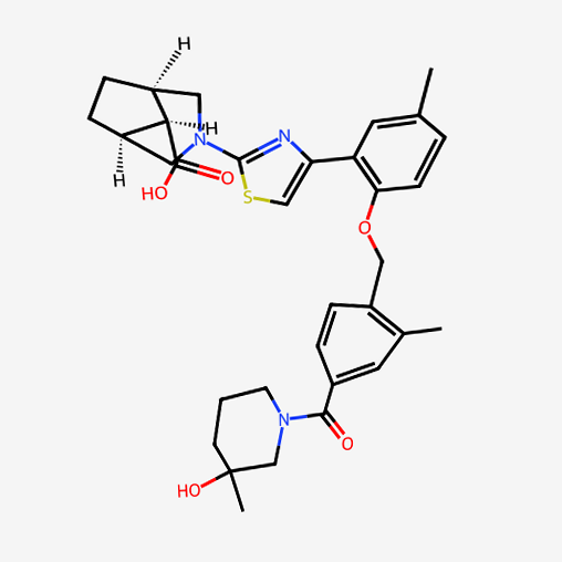 Cc1ccc(OCc2ccc(C(=O)N3CCCC(C)(O)C3)cc2C)c(-c2csc(N3C[C@H]4CC[C@@H](C3)[C@H]4C(=O)O)n2)c1